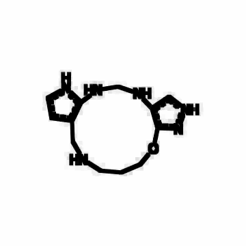 c1cc2c([nH]1)NCNc1c[nH]nc1OCCCNC2